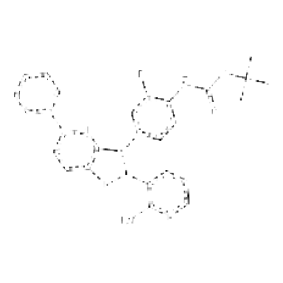 CC(C)(C)OC(=O)Nc1ccc(N2c3nc(-c4ccccc4)ccc3NC2c2cccnc2N)cc1F